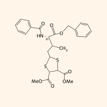 COC(=O)C1SC(CC(C)[C@H](NC(=O)c2ccccc2)C(=O)OCc2ccccc2)SC1C(=O)OC